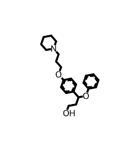 OCCC(Oc1ccccc1)c1ccc(OCCCN2CCCCC2)cc1